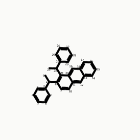 CC(c1ccccc1)c1ccc2cc3ccccc3cc2c1C(C)c1ccccc1